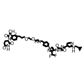 Cn1c(=O)n(C2CCC(=O)NC2=O)c2ccc(CCCOCCOCCNCc3ccc(-n4cc(NC(=O)c5coc(-c6ccnc(NCC7CC7)c6)n5)c(C(F)F)n4)cc3)cc21